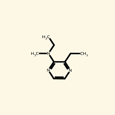 CCc1nccnc1N(C)CC